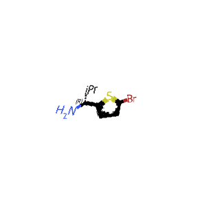 CC(C)[C@@H](N)c1ccc(Br)s1